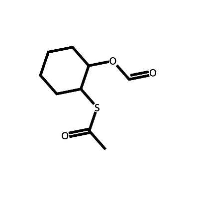 CC(=O)SC1CCCCC1OC=O